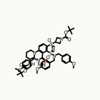 COc1ccc(CN(Cc2ccc(OC)cc2)S(=O)(=O)c2c(S(=O)(=O)C3CN(C(=O)OC(C)(C)C)C3)ccc(N3CCC[C@@H](NC(=O)OC(C)(C)C)C3)c2-c2nnnn2Cc2ccc(OC)cc2)cc1